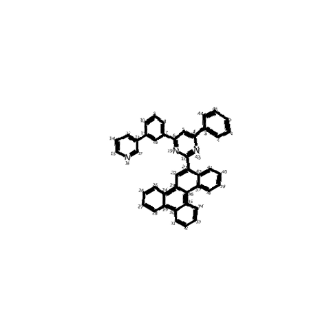 c1ccc(-c2cc(-c3cccc(-c4cccnc4)c3)nc(-c3cc4c5ccccc5c5ccccc5c4c4ccccc34)n2)cc1